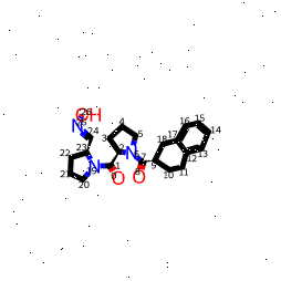 O=C([C@H]1CCCN1C(=O)[C@H]1CCc2ccccc2C1)N1CCC[C@H]1C=NO